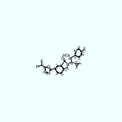 O=C1c2cc(-c3nnc(C(F)F)o3)ccc2CN1[C@H](C1CC1)[C@H](O)c1ccc(F)cn1